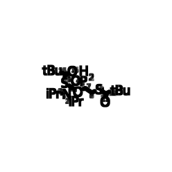 CC(C)N(C(C)C)C(OP)(OCCSC(=O)C(C)(C)C)SC(=O)C(C)(C)C